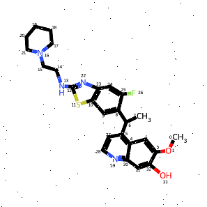 COc1cc2c(C(C)c3cc4sc(NCCN5CCCCC5)nc4cc3F)ccnc2cc1O